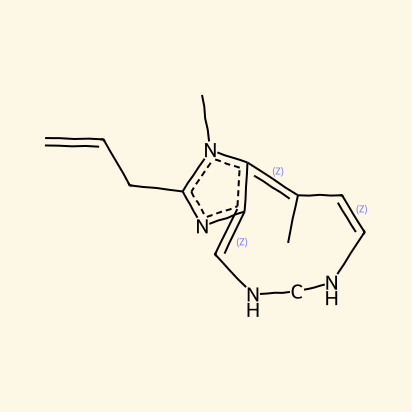 C=CCc1nc2/c(n1C)=C(C)/C=C\NCN/C=2